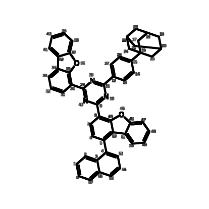 c1ccc2c(-c3ccc(-c4nc(-c5ccc(C67CC8CC(CC(C8)C6)C7)cc5)nc(-c5cccc6c5oc5ccccc56)n4)c4oc5ccccc5c34)cccc2c1